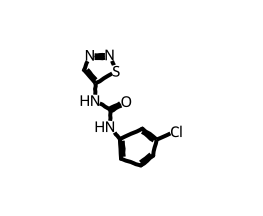 O=C(Nc1cccc(Cl)c1)Nc1cnns1